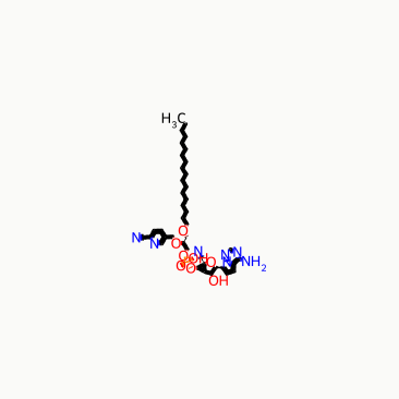 CCCCCCCCCCCCCCCCCCOC[C@H](COP(=O)(O)OC1C2[C@@H](O)[C@H](c3ccc4c(N)ncnn34)O[C@]12C#N)OCc1ccc(C#N)nc1